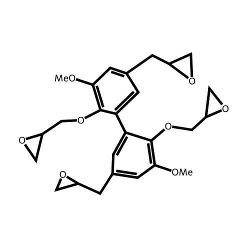 COc1cc(CC2CO2)cc(-c2cc(CC3CO3)cc(OC)c2OCC2CO2)c1OCC1CO1